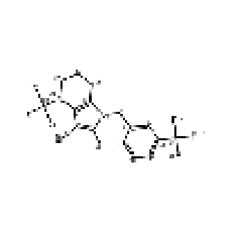 Cc1c(Br)c2c(n1Cc1cccc(C(F)(F)F)c1)CCCN2C(C)(C)C